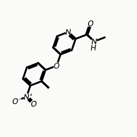 CNC(=O)c1cc(Oc2cccc([N+](=O)[O-])c2C)ccn1